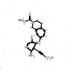 CCOC(=O)C#Cc1c(N)ncc(F)c1Oc1ccc2c(c1)CN(C(=O)OC(C)(C)C)CC2